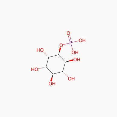 O=P(O)(O)O[C@H]1[C@@H](O)[C@H](O)[C@@H](O)[C@H](O)[C@@H]1O